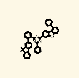 CC1(C)c2ccccc2-c2ccc(-c3ccccc3-c3nc(-c4ccccc4)nc(-c4ccc5c(c4)oc4cccc(-c6ccccc6)c45)n3)cc21